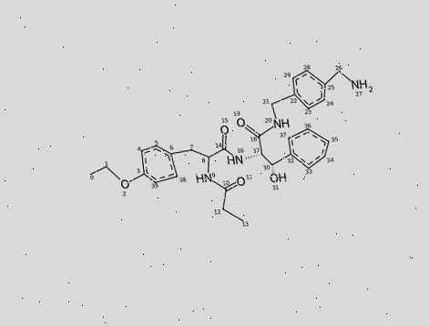 CCOc1ccc(CC(NC(=O)CC)C(=O)N[C@H](C(=O)NCc2ccc(CN)cc2)[C@@H](O)c2ccccc2)cc1